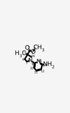 COC(=O)C1(C)CCN(c2cccc(N)n2)C1